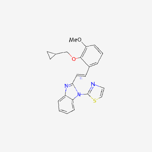 COc1cccc(/C=C/c2nc3ccccc3n2-c2nccs2)c1OCC1CC1